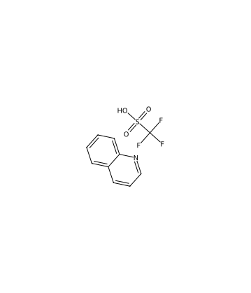 O=S(=O)(O)C(F)(F)F.c1ccc2ncccc2c1